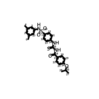 Cc1cc(C)cc(NS(=O)(=O)c2ccc(NC(=S)NC(=O)c3ccc(OC(C)C)cc3)cc2)c1